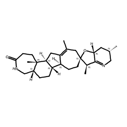 CC1=C2C[C@H]3[C@@H](CC[C@@H]4CNC(=O)CC[C@@]43C)[C@@H]2CC[C@@]2(C1)O[C@@H]1C[C@H](C)CN=C1[C@H]2C